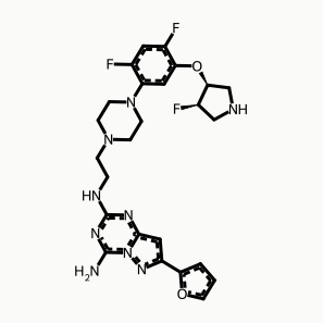 Nc1nc(NCCN2CCN(c3cc(O[C@H]4CNC[C@H]4F)c(F)cc3F)CC2)nc2cc(-c3ccco3)nn12